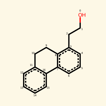 OCCc1cccc2c1CCc1ccccc1-2